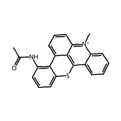 CC(=O)Nc1cccc2c1-c1cccc3c1c(c1ccccc1[n+]3C)S2